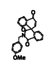 COc1ccc(CN2C(=O)c3ccccc3C3(C=CC(=O)c4ccccc43)C2=O)cc1